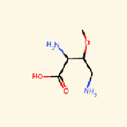 COC(CN)C(N)C(=O)O